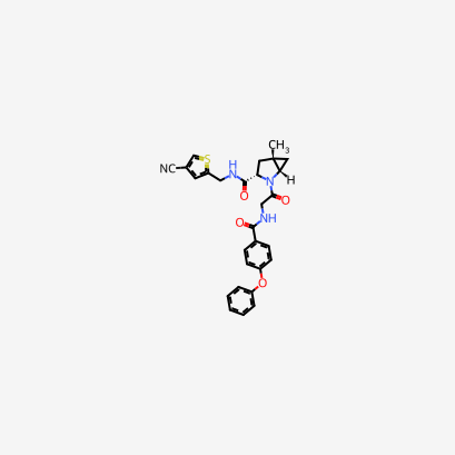 C[C@@]12C[C@@H]1N(C(=O)CNC(=O)c1ccc(Oc3ccccc3)cc1)[C@H](C(=O)NCc1cc(C#N)cs1)C2